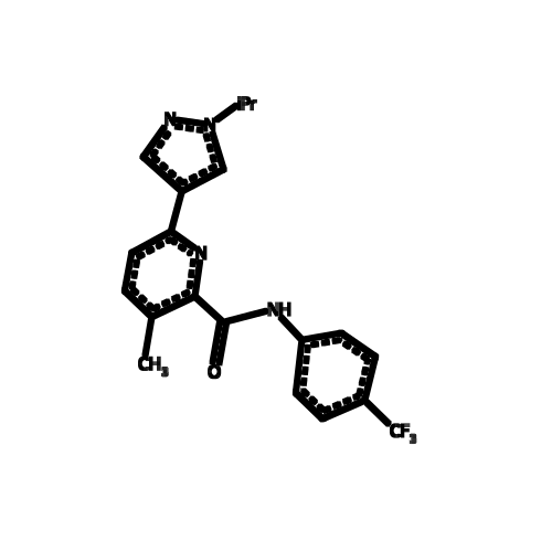 Cc1ccc(-c2cnn(C(C)C)c2)nc1C(=O)Nc1ccc(C(F)(F)F)cc1